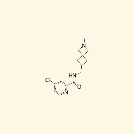 CN1CC2(CC(CNC(=O)c3cc(Cl)ccn3)C2)C1